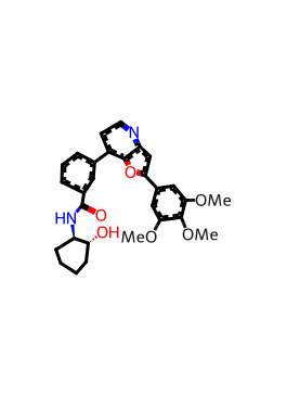 COc1cc(-c2cc3nccc(-c4cccc(C(=O)N[C@@H]5CCCC[C@H]5O)c4)c3o2)cc(OC)c1OC